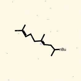 CCCCC(C)C/C=C(\C)CCC=C(C)C